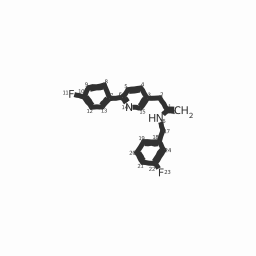 C=C(Cc1ccc(-c2ccc(F)cc2)nc1)NCc1cccc(F)c1